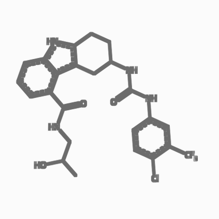 CC(O)CNC(=O)c1cccc2[nH]c3c(c12)CC(NC(=O)Nc1ccc(Cl)c(C(F)(F)F)c1)CC3